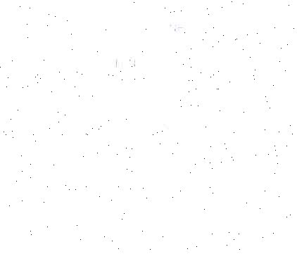 Nc1ccc(OCCOc2ccc(C=Cc3ccccc3)cc2)c(N)c1